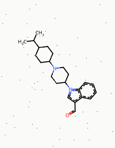 CC(C)C1CCC(N2CCC(n3cc(C=O)c4ccccc43)CC2)CC1